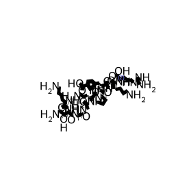 C[C@H](NC(=O)[C@@H](NC(=O)[C@@H](N)CCCCN)[C@@H](O)CN)C(=O)NCC(=O)N[C@H](CCCN)C(=O)N1CCC[C@H]1C(=O)N[C@@H](Cc1ccc(C(=O)O)cc1)C(=O)N[C@@H](CCCCN)C(=O)N/C(=C\CCNC(=N)N)C(=O)O